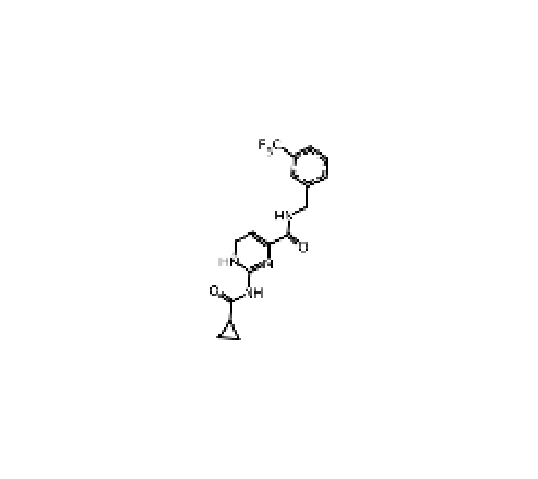 O=C(NCc1cccc(C(F)(F)F)c1)C1=CCNC(NC(=O)C2CC2)=N1